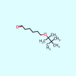 CC(C)(C)C(C)(C)OCCCCCC=O